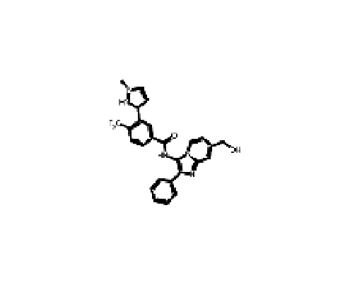 CN1C=CC(c2cc(C(=O)Nc3c(-c4ccccc4)nc4cc(CO)ccn34)ccc2C(F)(F)F)N1